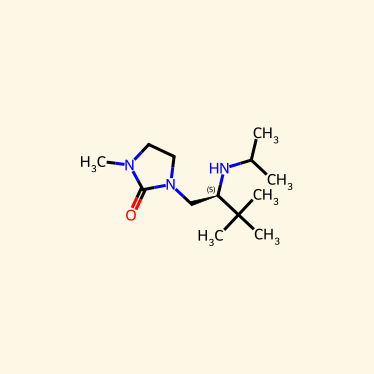 CC(C)N[C@H](CN1CCN(C)C1=O)C(C)(C)C